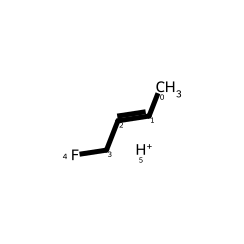 CC=CCF.[H+]